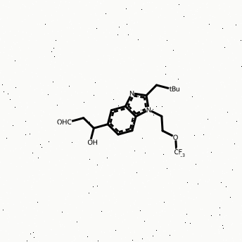 CC(C)(C)Cc1nc2cc(C(O)CC=O)ccc2n1CCOC(F)(F)F